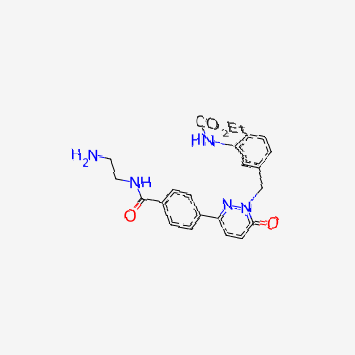 CCOC(=O)Nc1cccc(Cn2nc(-c3ccc(C(=O)NCCN)cc3)ccc2=O)c1